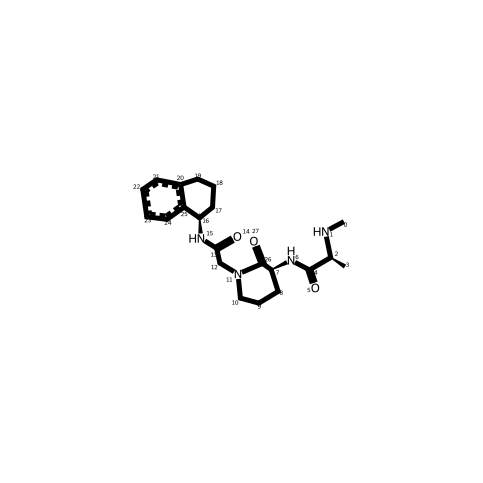 CN[C@@H](C)C(=O)N[C@H]1CCCN(CC(=O)N[C@@H]2CCCc3ccccc32)C1=O